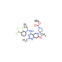 C=C[C@@H](Nc1nc(C)nc2cc(=O)n(C3(C)CCN(C(=O)OC(C)(C)C)C3)cc12)c1cccc(C(F)F)c1F